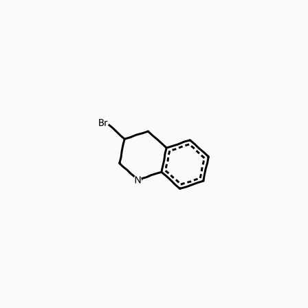 BrC1C[N]c2ccccc2C1